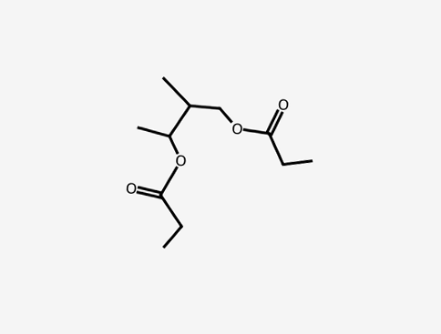 CCC(=O)OCC(C)C(C)OC(=O)CC